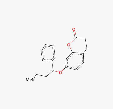 CNCCC(Oc1ccc2c(c1)OC(=O)CC2)c1ccccc1